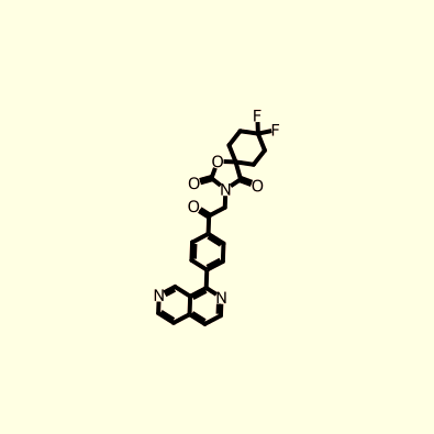 O=C(CN1C(=O)OC2(CCC(F)(F)CC2)C1=O)c1ccc(-c2nccc3ccncc23)cc1